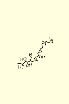 CCC(O)C(O)C(O)C(O)CN(C)CC(O)COCCC[Si](C)(C)CC[Si](C)(C)C